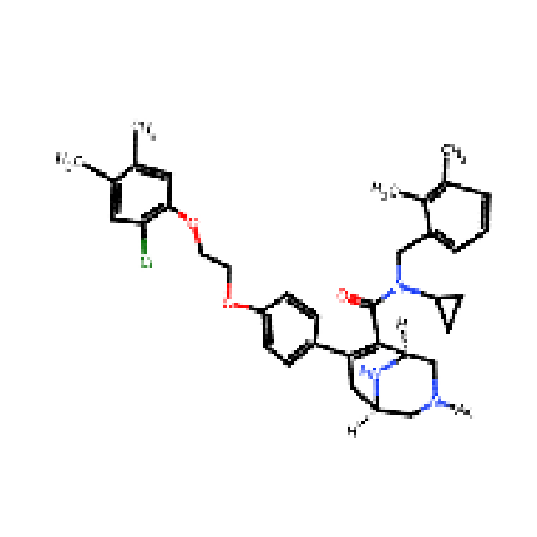 CC(=O)N1C[C@H]2CC(c3ccc(OCCOc4cc(C)c(C)cc4Cl)cc3)=C(C(=O)N(Cc3cccc(C)c3C)C3CC3)[C@@H](C1)N2